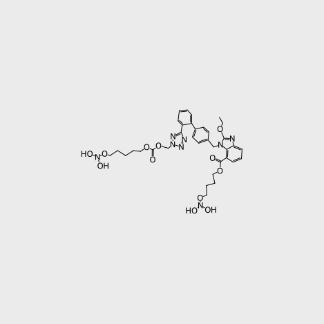 CCOc1nc2cccc(C(=O)OCCCCON(O)O)c2n1Cc1ccc(-c2ccccc2-c2nnn(COC(=O)OCCCCCON(O)O)n2)cc1